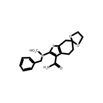 NC(=O)c1c(N(Cc2ccccc2)C(=O)O)sc2c1CCC1(C2)OCCO1